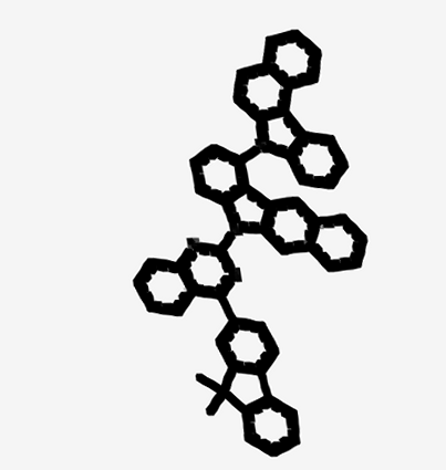 CC1(C)c2ccccc2-c2ccc(-c3nc(-n4c5cc6ccccc6cc5c5c(-n6c7ccccc7c7c8ccccc8ccc76)cccc54)nc4ccccc34)cc21